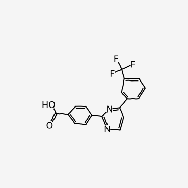 O=C(O)c1ccc(-c2nccc(-c3cccc(C(F)(F)F)c3)n2)cc1